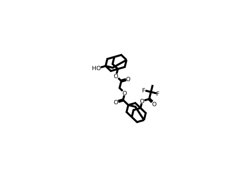 CC(F)(F)C(=O)OC12CC3CC(C1)CC(C(=O)OCC(=O)OC14CC5CC(CC(O)(C5)C1)C4)(C3)C2